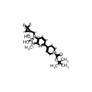 CN1c2nc(C3=CCN(C(=O)OC(C)(C)C)CC3)ccc2N(CC2CC2(F)F)S1(O)O